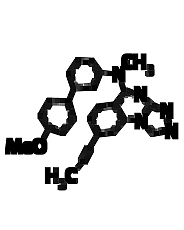 CC#Cc1ccc2c(N(C)c3cccc(-c4ccc(OC)cc4)c3)nc3nncn3c2c1